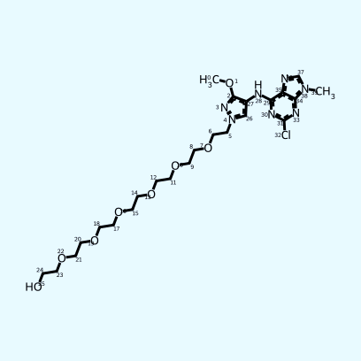 COc1nn(CCOCCOCCOCCOCCOCCOCCO)cc1Nc1nc(Cl)nc2c1ncn2C